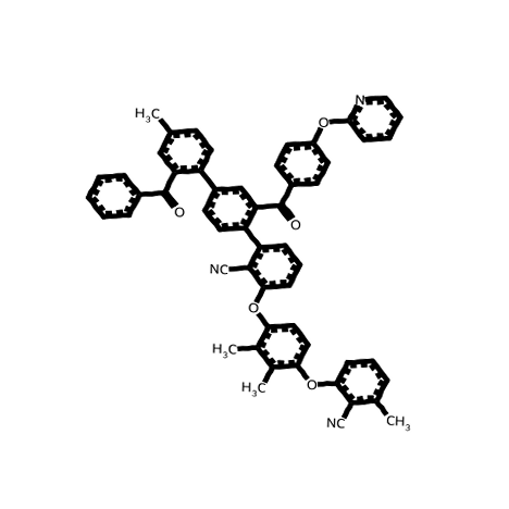 Cc1ccc(-c2ccc(-c3cccc(Oc4ccc(Oc5cccc(C)c5C#N)c(C)c4C)c3C#N)c(C(=O)c3ccc(Oc4ccccn4)cc3)c2)c(C(=O)c2ccccc2)c1